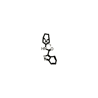 CN1C2CCC1CC(NC(=O)c1snc3ccccc13)C2